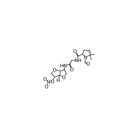 CC1(C)SCC(C(=O)NCC(=O)N[C@H]2CO[C@H]3C2OC[C@@H]3O[N+](=O)[O-])N1C=O